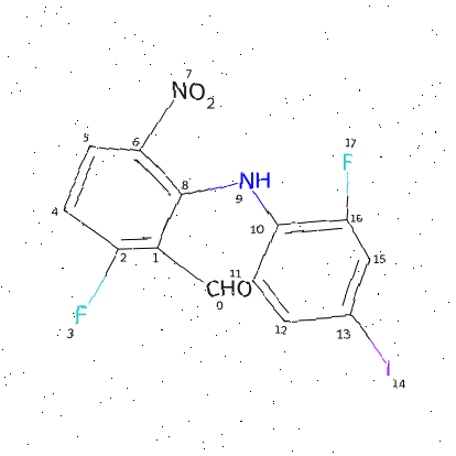 O=Cc1c(F)ccc([N+](=O)[O-])c1Nc1ccc(I)cc1F